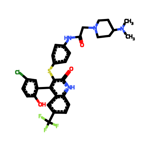 CN(C)C1CCN(CC(=O)Nc2ccc(Sc3c(-c4cc(Cl)ccc4O)c4cc(C(F)(F)F)ccc4[nH]c3=O)cc2)CC1